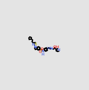 O=S(=O)(Nc1ccc(CCNCC(O)c2cccnc2)cc1)c1ccc2c(c1)CCN2c1nc(CCC2CCCC2)cs1